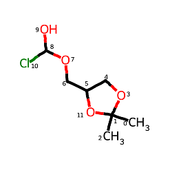 CC1(C)OCC(COC(O)Cl)O1